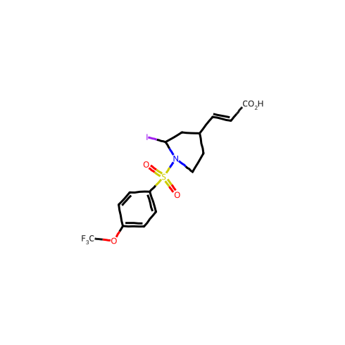 O=C(O)C=CC1CCN(S(=O)(=O)c2ccc(OC(F)(F)F)cc2)C(I)C1